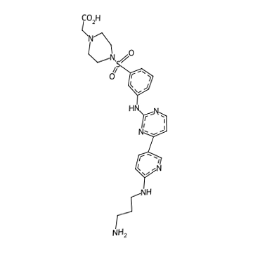 NCCCNc1ccc(-c2ccnc(Nc3cccc(S(=O)(=O)N4CCN(CC(=O)O)CC4)c3)n2)cn1